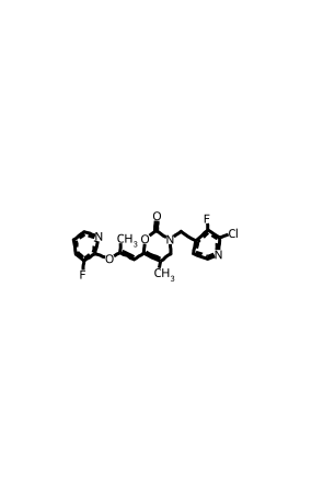 CC1=C(/C=C(\C)Oc2ncccc2F)OC(=O)N(Cc2ccnc(Cl)c2F)C1